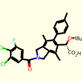 Cc1ccc(-c2c(C)c3c(c(C)c2[C@H](OC(C)(C)C)C(=O)O)CN(C(=O)c2cc(F)c(Cl)c(Cl)c2)C3)cc1